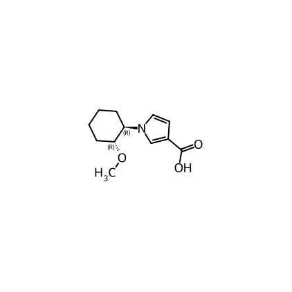 CO[C@@H]1CCCC[C@H]1n1ccc(C(=O)O)c1